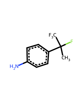 CC(F)(c1ccc(N)cc1)C(F)(F)F